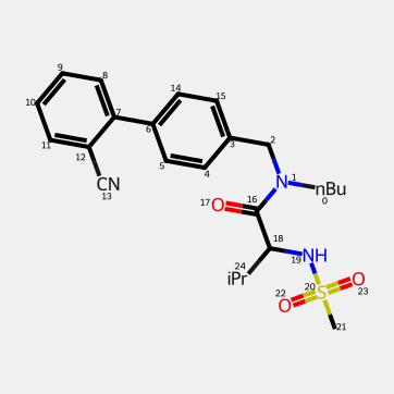 CCCCN(Cc1ccc(-c2ccccc2C#N)cc1)C(=O)C(NS(C)(=O)=O)C(C)C